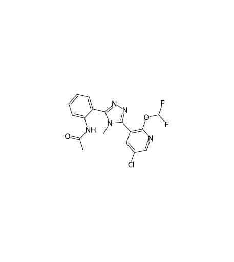 CC(=O)Nc1ccccc1-c1nnc(-c2cc(Cl)cnc2OC(F)F)n1C